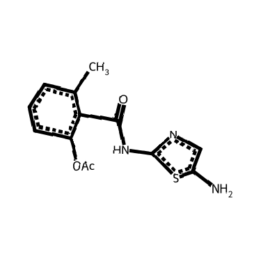 CC(=O)Oc1cccc(C)c1C(=O)Nc1ncc(N)s1